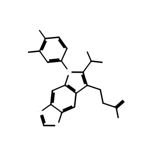 CC(C)c1c(C[C@@H](O)C(=O)O)c2cc3[nH]cnc3cc2n1-c1ccc(F)c(F)c1